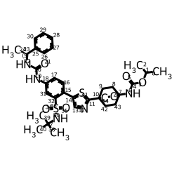 CC(C)OC(=O)NC12CCC(c3ncc(-c4ccc(NC(=O)N[C@@H](C)c5ccccc5)cc4S(=O)(=O)NC(C)(C)C)s3)(CC1)CC2